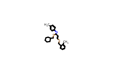 Cc1ccc(N=C(C=CSCc2ccccc2C)SCC2CCCCC2)cc1